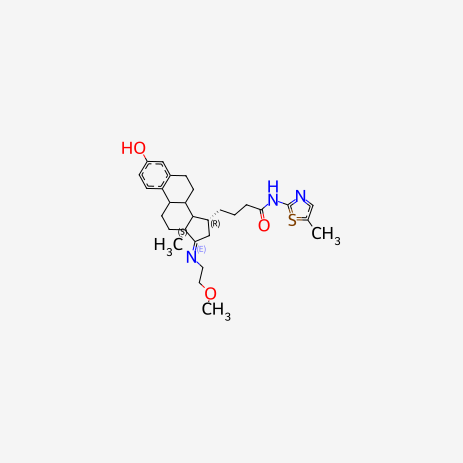 COCC/N=C1\C[C@@H](CCCC(=O)Nc2ncc(C)s2)C2C3CCc4cc(O)ccc4C3CC[C@]12C